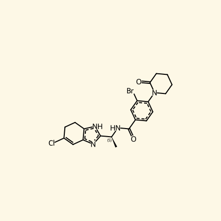 C[C@H](NC(=O)c1ccc(N2CCCCC2=O)c(Br)c1)c1nc2c([nH]1)CCC(Cl)=C2